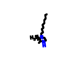 CCCCCCCCCCN1CCNC(C)C1(C)[SiH3]